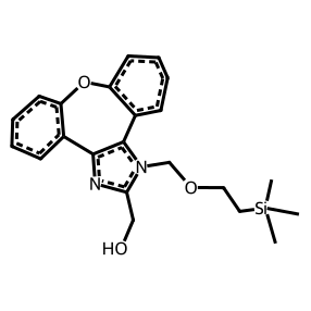 C[Si](C)(C)CCOCn1c(CO)nc2c1-c1ccccc1Oc1ccccc1-2